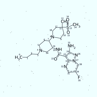 CCCCN1CCC(N2CCC(C)(S(C)(=O)=O)CC2)C(NC(=O)c2c(N)nn3cc(F)cnc23)C1